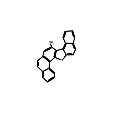 Bc1cc2ccc3ccccc3c2c2sc3ccc4ccccc4c3c12